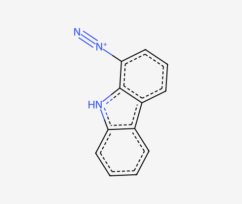 N#[N+]c1cccc2c1[nH]c1ccccc12